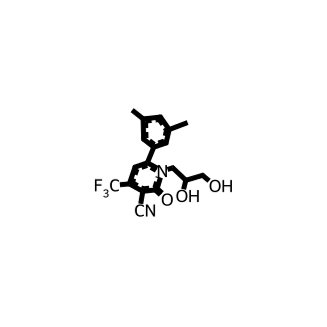 Cc1cc(C)cc(-c2cc(C(F)(F)F)c(C#N)c(=O)n2CC(O)CO)c1